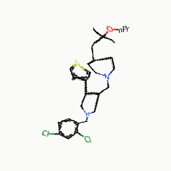 CCCOC(C)(C)CC1CCN(CC2CN(Cc3ccc(Cl)cc3Cl)CC2c2ccsc2)CC1